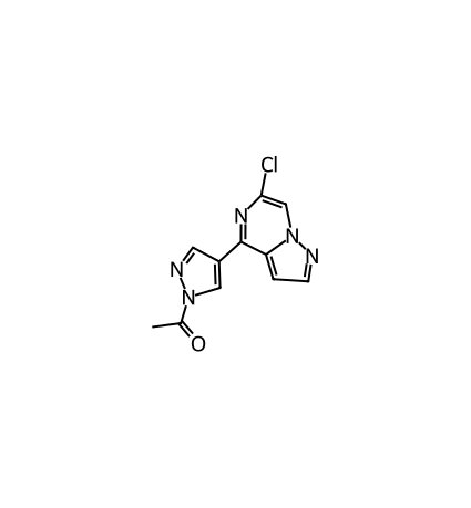 CC(=O)n1cc(-c2nc(Cl)cn3nccc23)cn1